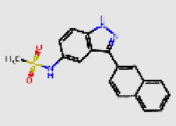 CS(=O)(=O)Nc1ccc2[nH]nc(-c3ccc4ccccc4c3)c2c1